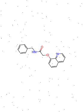 O=C(COc1cccc2cccnc12)NCc1ccccc1